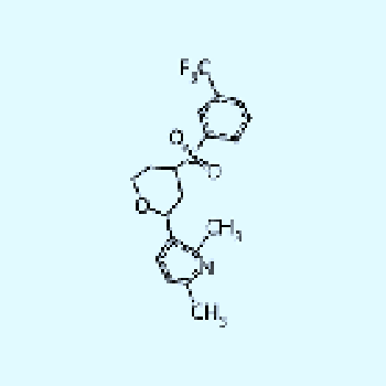 Cc1ccc(C2CC(S(=O)(=O)c3cccc(C(F)(F)F)c3)CCO2)c(C)n1